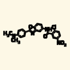 CN(C)c1ccc(-c2nc3cc(NC(=O)c4cc([N+](=O)[O-])ccc4Cl)ccc3o2)cc1